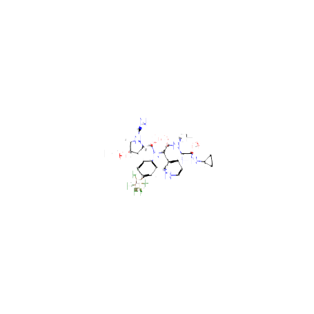 CO[C@@H]1C[C@H](C(=O)N(c2ccc(S(F)(F)(F)(F)F)cc2)C(C(=O)N(C)CC(=O)NC2CC2)c2cccnc2)N(C#N)C1